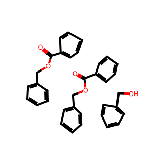 O=C(OCc1ccccc1)c1ccccc1.O=C(OCc1ccccc1)c1ccccc1.OCc1ccccc1